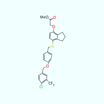 COC(=O)COc1ccc(SCc2ccc(OCc3ccc(Cl)c(C(F)(F)F)c3)cc2)c2c1CCC2